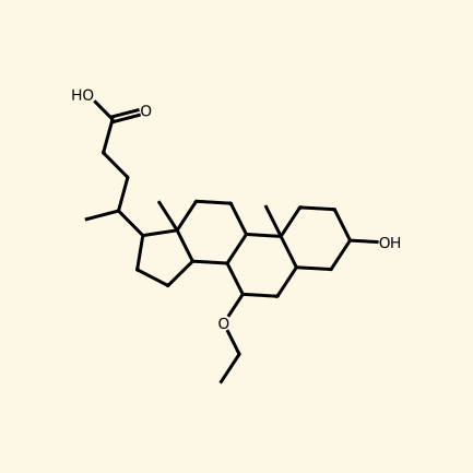 CCOC1CC2CC(O)CCC2(C)C2CCC3(C)C(C(C)CCC(=O)O)CCC3C12